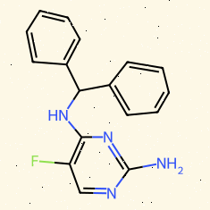 Nc1ncc(F)c(NC(c2ccccc2)c2ccccc2)n1